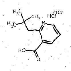 CC(C)(C)Cc1ncccc1C(=O)O.Cl.Cl